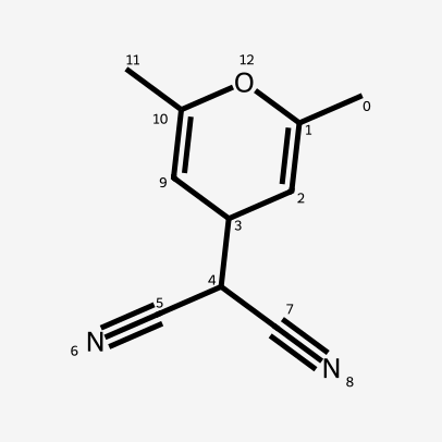 CC1=CC(C(C#N)C#N)C=C(C)O1